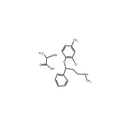 CC(O)C(=O)O.CNCCC(Oc1ccc(C)cc1Cl)c1ccccc1